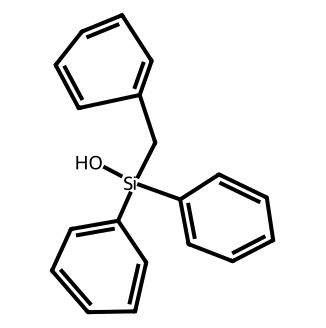 O[Si](Cc1ccccc1)(c1ccccc1)c1ccccc1